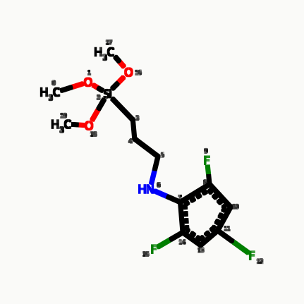 CO[Si](CCCNc1c(F)cc(F)cc1F)(OC)OC